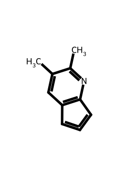 Cc1cc2c(nc1C)C=C=C2